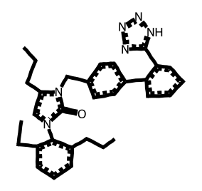 CCCc1cccc(CC)c1-n1cc(CCC)n(Cc2ccc(-c3ccccc3-c3nnn[nH]3)cc2)c1=O